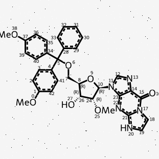 COc1ccc(C(OC[C@H]2O[C@@H](n3cnc4c(=O)n5cc[nH]c5nc43)[C@H](OC)[C@@H]2O)(c2ccccc2)c2ccc(OC)cc2)cc1